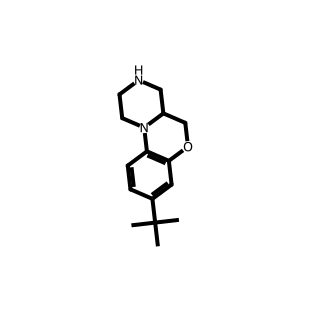 CC(C)(C)c1ccc2c(c1)OCC1CNCCN21